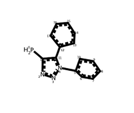 Pc1nnn(-c2ccccc2)c1-c1ccccc1